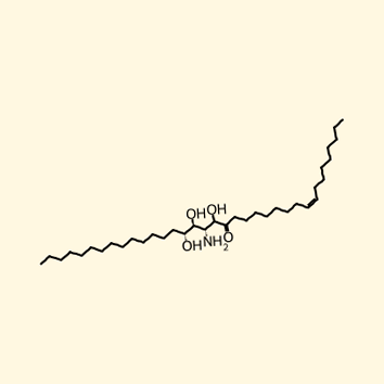 CCCCCCCC/C=C\CCCCCCCC(=O)C(O)[C@H](N)[C@H](O)[C@H](O)CCCCCCCCCCCCCC